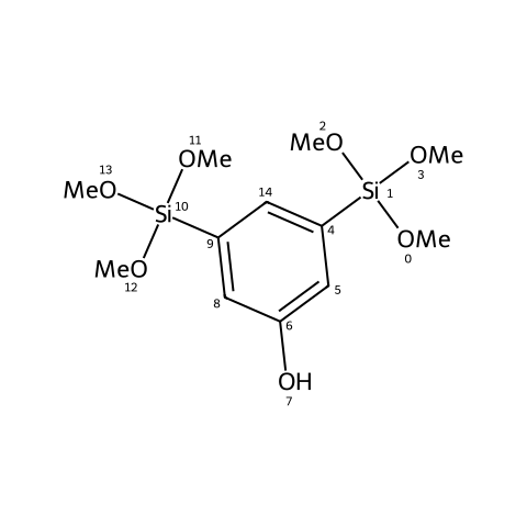 CO[Si](OC)(OC)c1cc(O)cc([Si](OC)(OC)OC)c1